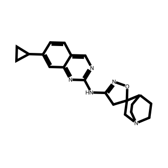 c1cc2cnc(NC3=NOC4(C3)CN3CCC4CC3)nc2cc1C1CC1